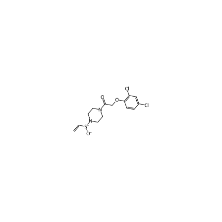 C=C[S+]([O-])N1CCN(C(=O)COc2ccc(Cl)cc2Cl)CC1